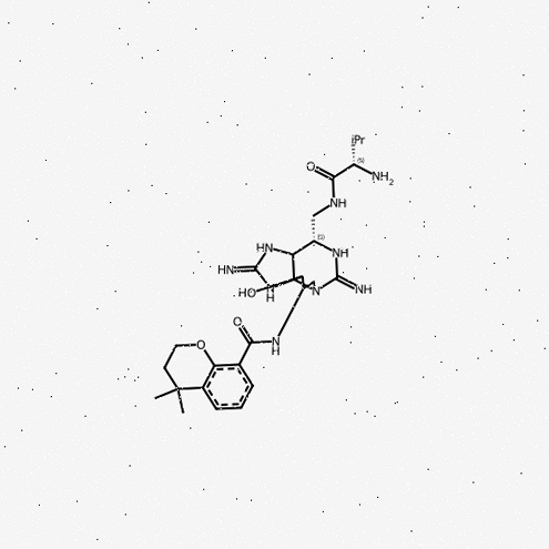 CC(C)[C@H](N)C(=O)NC[C@@H]1NC(=N)N2CC(NC(=O)c3cccc4c3OCCC4(C)C)C(O)C23NC(=N)NC13